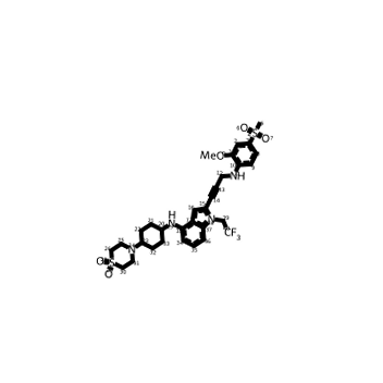 COc1cc(S(C)(=O)=O)ccc1NCC#Cc1cc2c(NC3CCC(N4CCS(=O)(=O)CC4)CC3)cccc2n1CC(F)(F)F